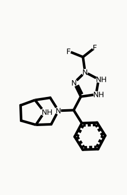 FC(F)N1N=C(C(c2ccccc2)N2CC3CCC(C2)N3)NN1